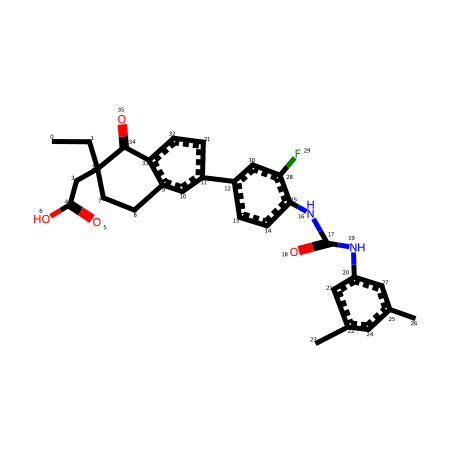 CCC1(CC(=O)O)CCc2cc(-c3ccc(NC(=O)Nc4cc(C)cc(C)c4)c(F)c3)ccc2C1=O